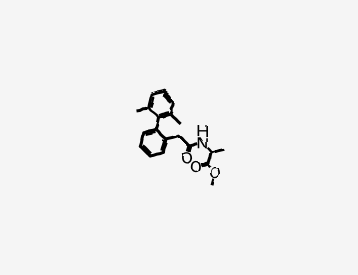 COC(=O)C(C)NC(=O)Cc1ccccc1-c1c(C)cccc1C